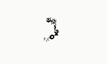 Cn1nccc1-c1nnc(SCCCN2CCC3(CC3[C@@H]3C=CC(C(F)(F)F)=CC3)C2)n1C